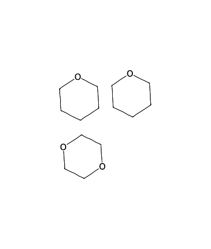 C1CCOCC1.C1CCOCC1.C1COCCO1